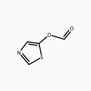 O=COc1cncs1